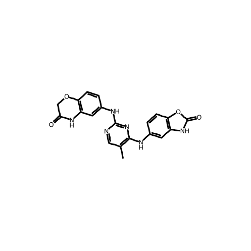 Cc1cnc(Nc2ccc3c(c2)NC(=O)CO3)nc1Nc1ccc2oc(=O)[nH]c2c1